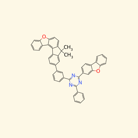 CC1(C)c2cc(-c3cccc(-c4nc(-c5ccccc5)nc(-c5ccc6c(c5)oc5ccccc56)n4)c3)ccc2-c2c1ccc1oc3ccccc3c21